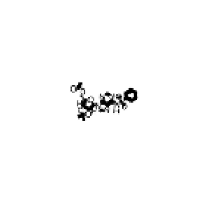 CC(=O)OC[C@H]1O[C@@H](n2cnc3c(NS(=O)(=O)c4ccccc4)ncnc32)[C@@H]2OC(C)(C)O[C@@H]21